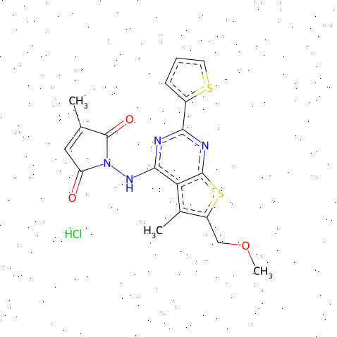 COCc1sc2nc(-c3cccs3)nc(NN3C(=O)C=C(C)C3=O)c2c1C.Cl